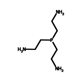 NCCP(CCN)CCN